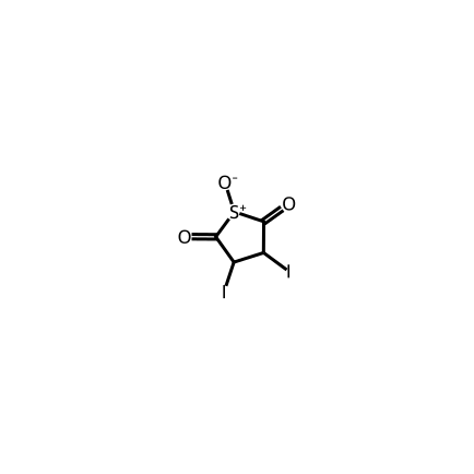 O=C1C(I)C(I)C(=O)[S+]1[O-]